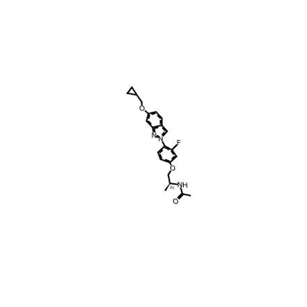 CC(=O)N[C@@H](C)COc1ccc(-n2cc3ccc(OCC4CC4)cc3n2)c(F)c1